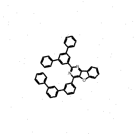 c1ccc(-c2cccc(-c3cccc(-c4nc(-c5cc(-c6ccccc6)cc(-c6ccccc6)c5)nc5c4oc4ccccc45)c3)c2)cc1